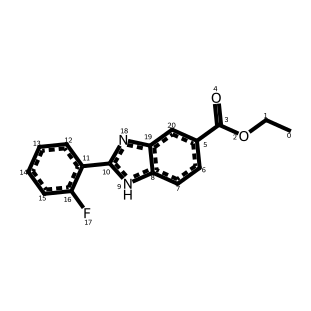 CCOC(=O)c1ccc2[nH]c(-c3ccccc3F)nc2c1